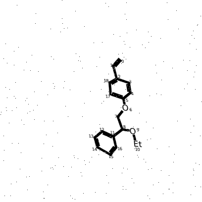 C=Cc1ccc(OCC(OCC)c2ccccc2)cc1